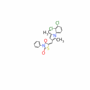 Cc1cc(/C=C2/SC(=O)N(c3ccccc3)C2=O)c(C)n1-c1cccc(Cl)c1Cl